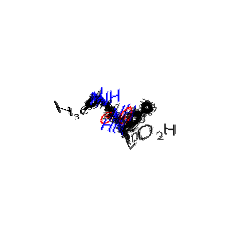 Cc1ccnc(NCCCCC(=O)NCC(=O)NC(CC(=O)O)c2ccc(-c3ccccc3)cc2)c1